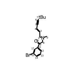 CN(CC=CC#CC(C)(C)C)CC(=O)c1cccc(Br)c1